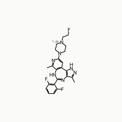 Cc1n[nH]c2c1N=C(c1c(F)cccc1F)Nc1c-2cc(N2CCN(CCF)[C@@H](C)C2)nc1C